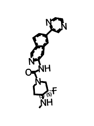 CN[C@H]1CCN(C(=O)Nc2cc3cc(-c4cnccn4)ccc3cn2)C[C@@H]1F